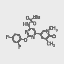 Cc1cc(-c2cc(NS(=O)(=O)C(C)(C)C)nc(Oc3ccc(F)cc3F)n2)cn(C)c1=O